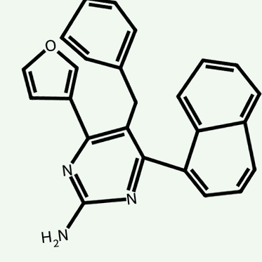 Nc1nc(-c2ccoc2)c(Cc2ccccc2)c(-c2cccc3ccccc23)n1